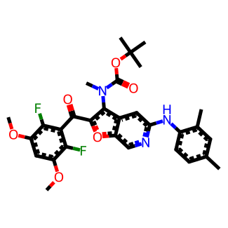 COc1cc(OC)c(F)c(C(=O)c2oc3cnc(Nc4ccc(C)cc4C)cc3c2N(C)C(=O)OC(C)(C)C)c1F